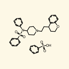 O=S(=O)(O)c1ccccc1.O=S(=O)(c1ccccc1)N(c1ccccc1)C1CCN(CCC2CCOc3ccccc32)CC1